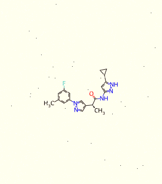 Cc1cc(F)cc(-n2cc([C@H](C)C(=O)Nc3cc(C4CC4)[nH]n3)cn2)c1